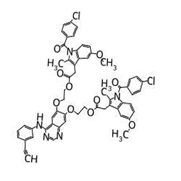 C#Cc1cccc(Nc2ncnc3cc(OCCOC(=O)Cc4c(C)n(C(=O)c5ccc(Cl)cc5)c5ccc(OC)cc45)c(OCCOC(=O)Cc4c(C)n(C(=O)c5ccc(Cl)cc5)c5ccc(OC)cc45)cc23)c1